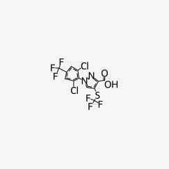 O=C(O)c1nn(-c2c(Cl)cc(C(F)(F)F)cc2Cl)cc1SC(F)(F)F